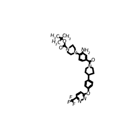 CC(C)(C)OC(=O)N1CCN(c2ccc(C(=O)N3CCC(c4ccc(Oc5ccc(C(F)(F)F)nn5)cc4)CC3)cc2N)CC1